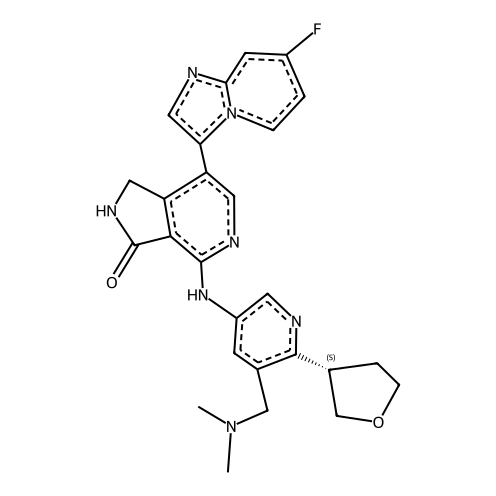 CN(C)Cc1cc(Nc2ncc(-c3cnc4cc(F)ccn34)c3c2C(=O)NC3)cnc1[C@@H]1CCOC1